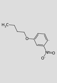 CCCCOc1cc[c]c([N+](=O)[O-])c1